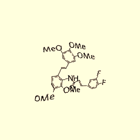 COc1cc(/C=C/c2ccc(OC)c(OC)c2NC(=O)/C=C/c2ccc(F)c(F)c2)cc(OC)c1OC